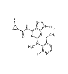 CCc1ccnc(F)c1N(C)c1cc2c(ncn2C)c(NC(=O)[C@H]2C[C@H]2F)n1